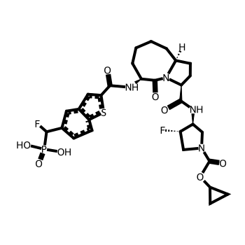 O=C(N[C@H]1CCCC[C@H]2CC[C@@H](C(=O)N[C@H]3CN(C(=O)OC4CC4)C[C@@H]3F)N2C1=O)c1cc2cc(C(F)P(=O)(O)O)ccc2s1